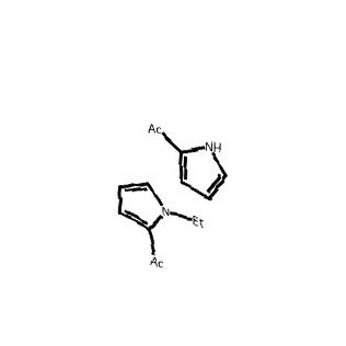 CC(=O)c1ccc[nH]1.CCn1cccc1C(C)=O